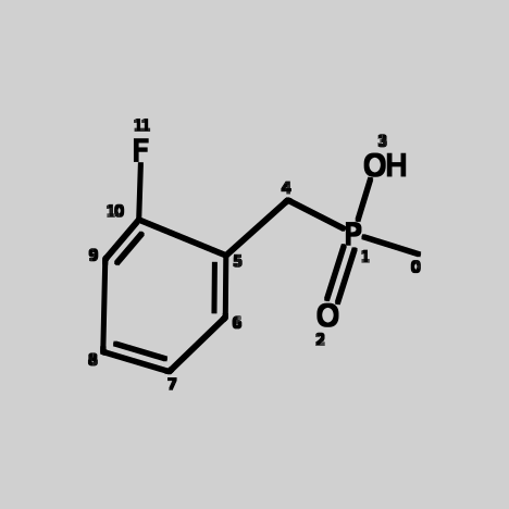 CP(=O)(O)Cc1ccccc1F